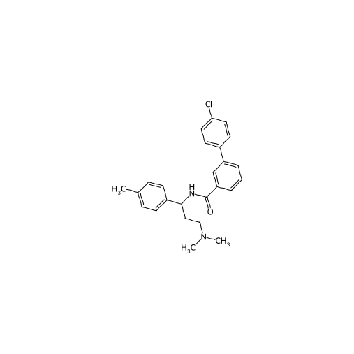 Cc1ccc(C(CCN(C)C)NC(=O)c2cccc(-c3ccc(Cl)cc3)c2)cc1